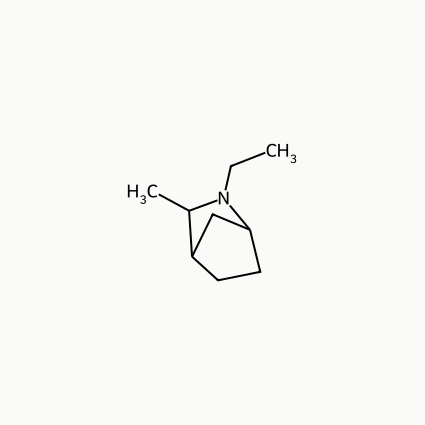 CCN1C2CCC(C2)C1C